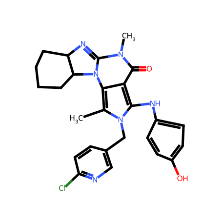 Cc1c2c(c(Nc3ccc(O)cc3)n1Cc1ccc(Cl)nc1)C(=O)N(C)C1=NC3CCCCC3N12